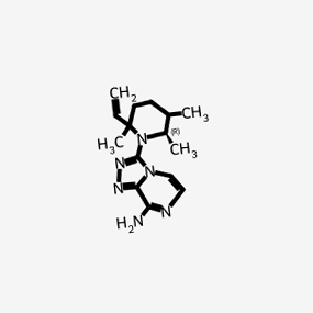 C=CC1(C)CCC(C)[C@@H](C)N1c1nnc2c(N)nccn12